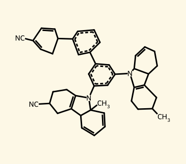 CC1CCC2=C(C1)C1CCC=CC1N2c1cc(-c2cccc(C3C=CC(C#N)=CC3)c2)cc(N2C3=C(CC(C#N)CC3)C3C=CC=CC32C)c1